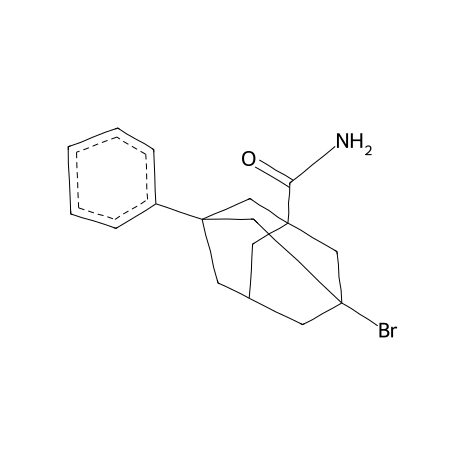 NC(=O)C12CC3CC(Br)(C1)CC(c1ccccc1)(C3)C2